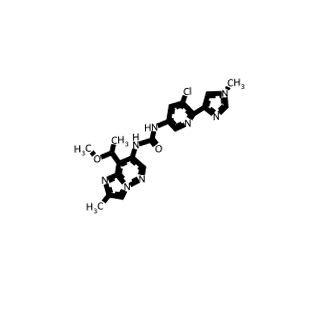 COC(C)c1c(NC(=O)Nc2cnc(-c3cn(C)cn3)c(Cl)c2)cnn2cc(C)nc12